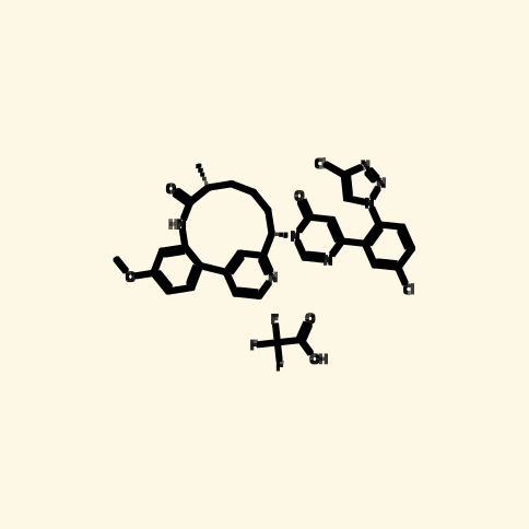 COc1ccc2c(c1)NC(=O)[C@H](C)CCC[C@H](n1cnc(-c3cc(Cl)ccc3-n3cc(Cl)nn3)cc1=O)c1cc-2ccn1.O=C(O)C(F)(F)F